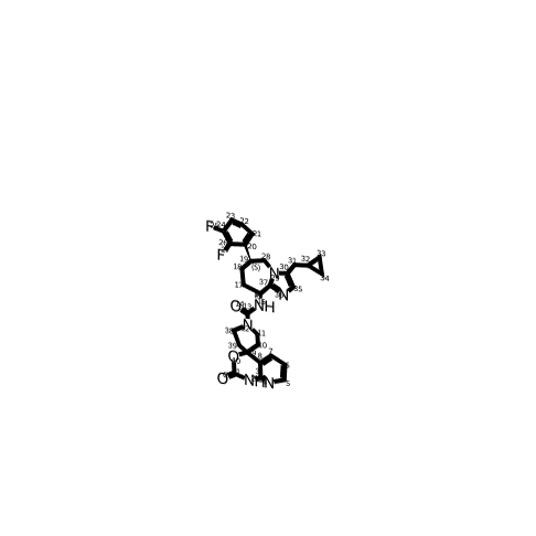 O=C1Nc2ncccc2C2(CCN(C(=O)N[C@@H]3CC[C@@H](c4cccc(F)c4F)Cn4c(CC5CC5)cnc43)CC2)O1